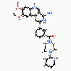 COc1cc2ncc3c(N)nc(-c4cccc(C(=O)N5CCN(c6ccccn6)CC5)c4)cc3c2cc1OC